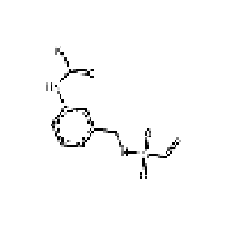 C=CS(=O)(=O)NCc1cccc(NC(=O)O)c1